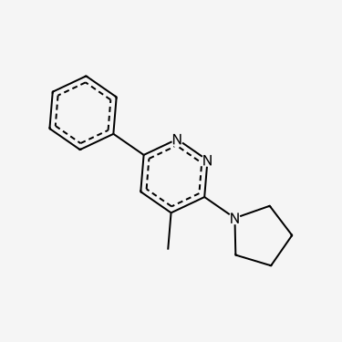 Cc1cc(-c2ccccc2)nnc1N1CCCC1